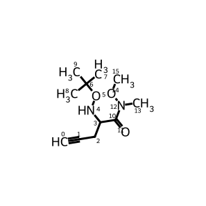 C#CCC(NOC(C)(C)C)C(=O)N(C)OC